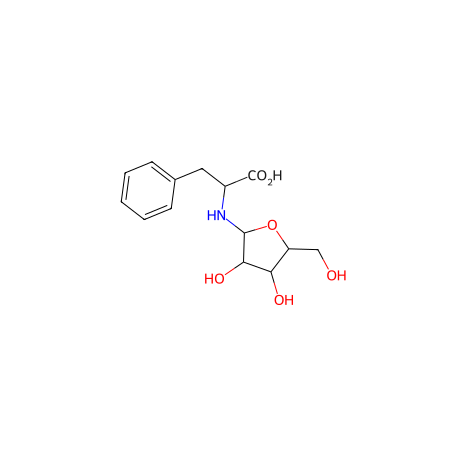 O=C(O)C(Cc1ccccc1)NC1OC(CO)C(O)C1O